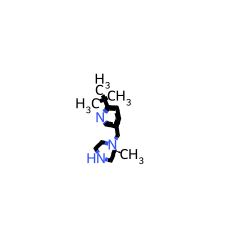 C[C@@H]1CNCCN1Cc1ccc(C(C)(C)C)nc1